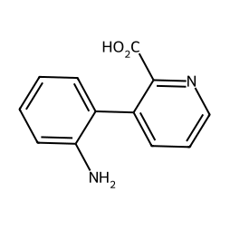 Nc1ccccc1-c1cccnc1C(=O)O